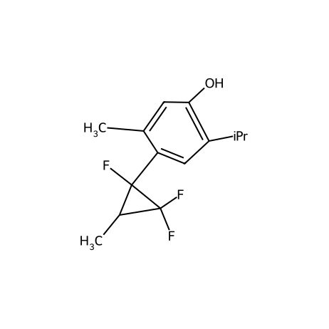 Cc1cc(O)c(C(C)C)cc1C1(F)C(C)C1(F)F